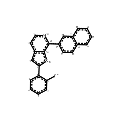 Fc1ccccc1-c1cc2ccnc(-c3ccc4ccccc4c3)c2s1